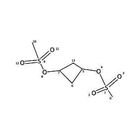 CS(=O)(=O)OC1CC(OS(C)(=O)=O)C1